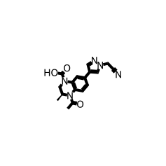 CC(=O)N1c2ccc(-c3cnn(CC#N)c3)cc2N(C(=O)O)C[C@@H]1C